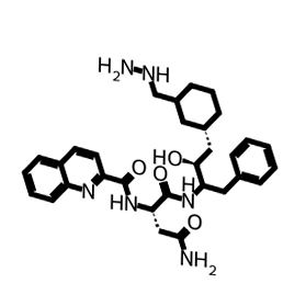 NNCC1CCC[C@H](C[C@H](O)C(Cc2ccccc2)NC(=O)[C@H](CC(N)=O)NC(=O)c2ccc3ccccc3n2)C1